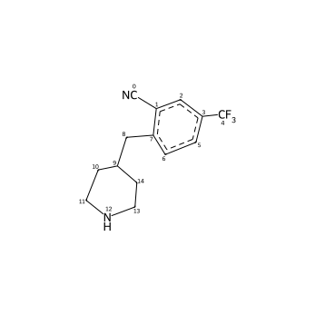 N#Cc1cc(C(F)(F)F)ccc1CC1CCNCC1